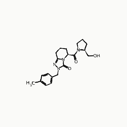 Cc1ccc(Cn2nc3n(c2=O)[C@H](C(=O)N2CCC[C@H]2CO)CCC3)cc1